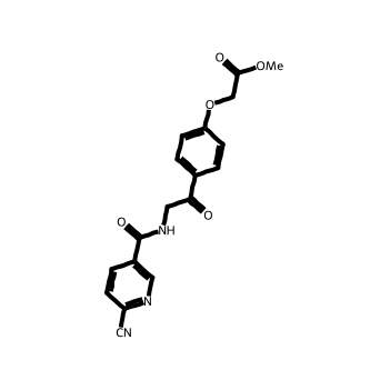 COC(=O)COc1ccc(C(=O)CNC(=O)c2ccc(C#N)nc2)cc1